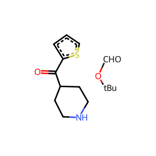 CC(C)(C)OC=O.O=C(c1cccs1)C1CCNCC1